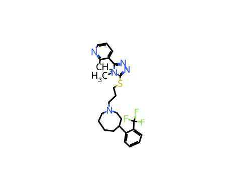 Cc1ncccc1-c1nnc(SCCCN2CCCCC(c3ccccc3C(F)(F)F)CC2)n1C